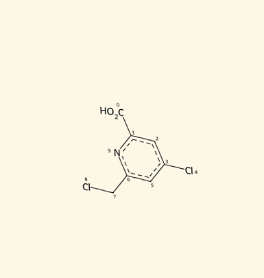 O=C(O)c1cc(Cl)cc(CCl)n1